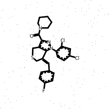 O=C(c1nn(-c2ccc(Cl)cc2Cl)c2c1CSCC2=Cc1ccc(F)cc1)N1CCCCC1